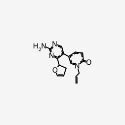 C=CCn1cc(-c2cnc(N)nc2C2CC=CO2)ccc1=O